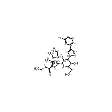 CCOC(=O)c1oc([C@@H]2O[C@H](CO)[C@H](O)[C@H](n3cc(-c4cccc(F)c4)nn3)C2O[Si](CC)(CC)CC)nc1C